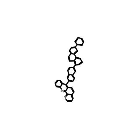 c1ccc(-c2ccc3ccc4c(-c5ccc6cc(-c7c8ccccc8nc8c7ccc7cccnc78)ccc6c5)cccc4c3c2)cc1